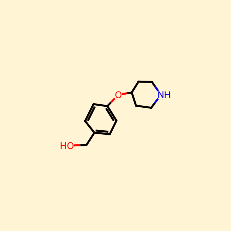 OCc1ccc(OC2CCNCC2)cc1